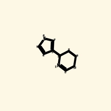 C1=NC(c2ccsc2)CCC1